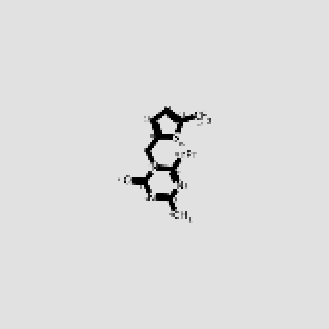 CCCc1nc(C)nc(=O)n1Cc1ccc(C(F)(F)F)s1